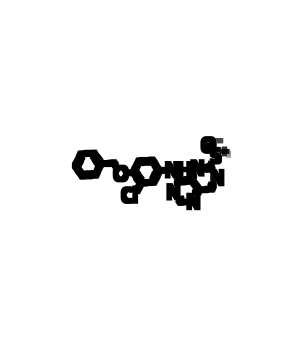 C[S+]([O-])c1ncc2ncnc(Nc3ccc(OCc4ccccc4)c(Cl)c3)c2n1